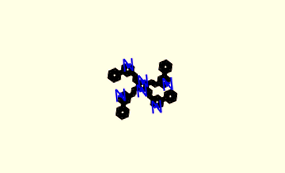 C(=Cc1nc(C=Cc2cncc(-c3ccccc3)c2)c(C=Cc2cncc(-c3ccccc3)c2)nc1C=Cc1cncc(-c2ccccc2)c1)c1cncc(-c2ccccc2)c1